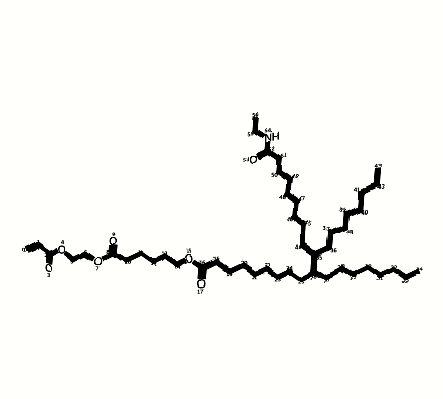 C=CC(=O)OCCOC(=O)CCCCCOC(=O)CCCCCCCCC(CCCCCCCC)C(CCCCCCCC)CCCCCCCCC(=O)NCC